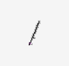 C#P(C)CCCCCC(=C)CCCCCCCCCCCCCCC